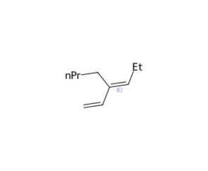 C=C/C(=C/CC)CCCC